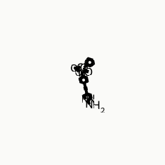 Nc1ncc(C#Cc2ccc(N(OC(=O)Cl)C(=O)Oc3ccccc3)cc2)cn1